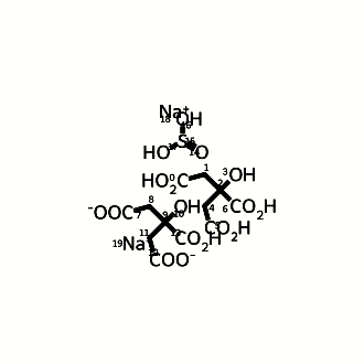 O=C(O)CC(O)(CC(=O)O)C(=O)O.O=C([O-])CC(O)(CC(=O)[O-])C(=O)O.O=S(O)O.[Na+].[Na+]